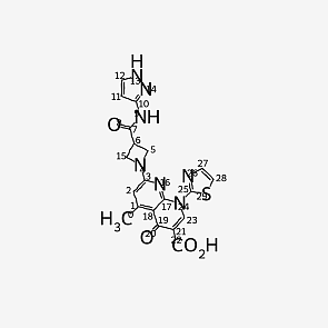 Cc1cc(N2CC(C(=O)Nc3cc[nH]n3)C2)nc2c1c(=O)c(C(=O)O)cn2-c1nccs1